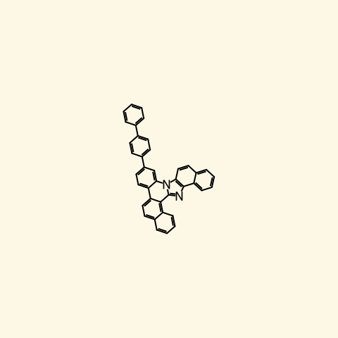 c1ccc(-c2ccc(-c3ccc4c5ccc6ccccc6c5c5nc6c7ccccc7ccc6n5c4c3)cc2)cc1